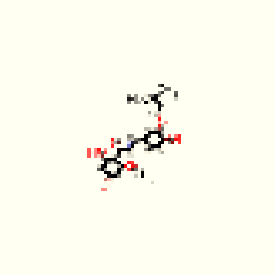 COc1cc(O)cc(O)c1C(=O)/C=C/c1ccc(O)c(OCC=C(C)C)c1